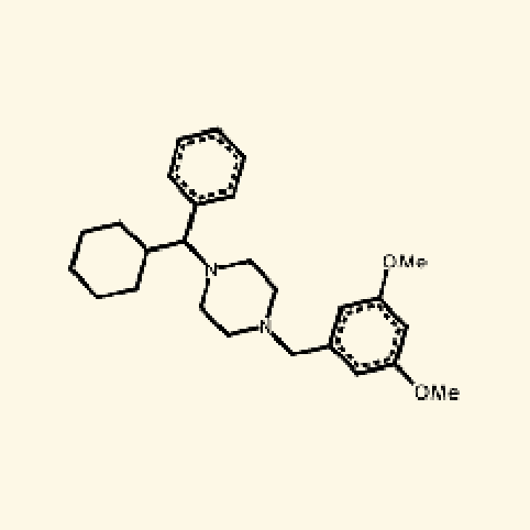 COc1cc(CN2CCN(C(c3ccccc3)C3CCCCC3)CC2)cc(OC)c1